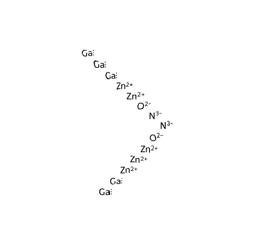 [Ga].[Ga].[Ga].[Ga].[Ga].[N-3].[N-3].[O-2].[O-2].[Zn+2].[Zn+2].[Zn+2].[Zn+2].[Zn+2]